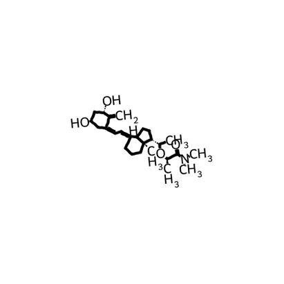 C=C1/C(=C\C=C2/CCC[C@]3(C)[C@@H](C(C)O[C@H](C)C(=O)N(C)C)CC[C@@H]23)C[C@@H](O)C[C@@H]1O